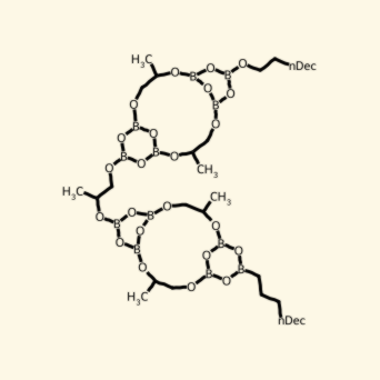 CCCCCCCCCCCCCB1OB2OCC(C)OB3OB(OCC(C)OB(O1)O2)OB(OC(C)COB1OB2OCC(C)OB4OB(OCCCCCCCCCCCC)OB(OCC(C)OB(O2)O1)O4)O3